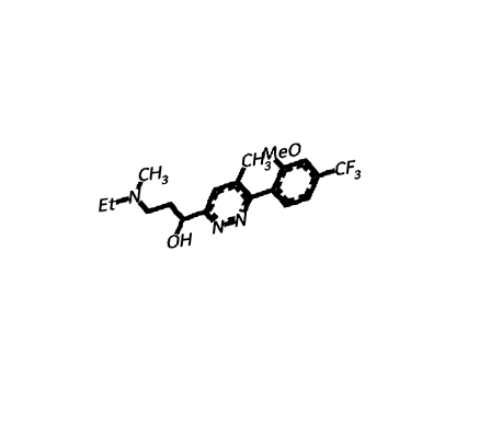 CCN(C)CCC(O)c1cc(C)c(-c2ccc(C(F)(F)F)cc2OC)nn1